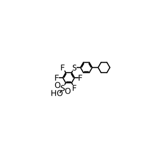 O=S(=O)(O)c1c(F)c(F)c(Sc2ccc(C3CCCCC3)cc2)c(F)c1F